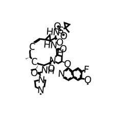 CC[C@@H]1C[C@H](C)CC/C=C\C2CC2(C(=O)NS(=O)(=O)C2(C)CC2)NC(=O)[C@@H]2C[C@@H](Oc3nccc4cc(OC)c(F)cc34)CN2C(=O)[C@H]1NC(=O)N1CCN(C)CC1